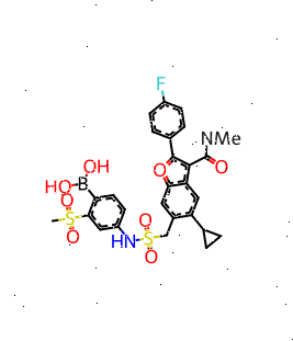 CNC(=O)c1c(-c2ccc(F)cc2)oc2cc(CS(=O)(=O)Nc3ccc(B(O)O)c(S(C)(=O)=O)c3)c(C3CC3)cc12